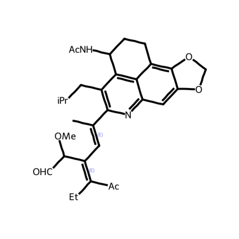 CC/C(C(C)=O)=C(/C=C(\C)c1nc2cc3c(c4c2c(c1CC(C)C)C(NC(C)=O)CC4)OCO3)C(C=O)OC